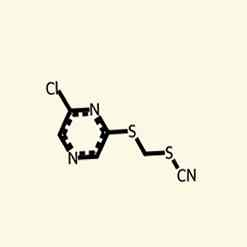 N#CSCSc1cncc(Cl)n1